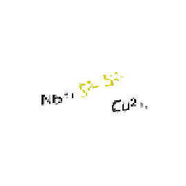 [Cu+2].[Nb+5].[S-2].[S-2]